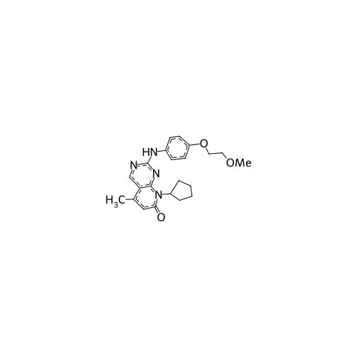 COCCOc1ccc(Nc2ncc3c(C)cc(=O)n(C4CCCC4)c3n2)cc1